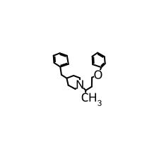 CC(CCOc1ccccc1)N1CCC(Cc2ccccc2)CC1